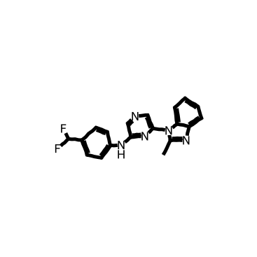 Cc1nc2ccccc2n1-c1cncc(Nc2ccc(C(F)F)cc2)n1